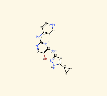 Brc1cnc(NC2=CCNC=C2)nc1Nc1cc(C2CC2)[nH]n1